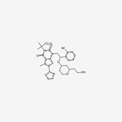 Cc1c(-c2ncco2)sc2c1c(=O)n(C(C)(C)C(=O)O)c(=O)n2CC(OC1CCOC(CCO)C1)c1ccccc1C#N